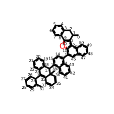 CC1Cc2ccccc2-c2oc3c(-c4ccc(C5c6ccccc6C(C6C=CC=CC6C)=C6C=CC=CC65C)c5ccccc45)cc4ccccc4c3c21